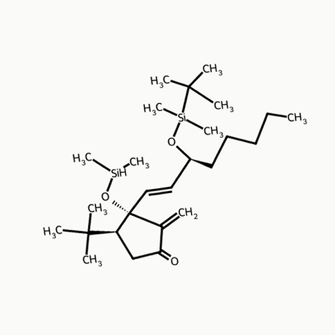 C=C1C(=O)C[C@@H](C(C)(C)C)[C@]1(C=C[C@H](CCCCC)O[Si](C)(C)C(C)(C)C)O[SiH](C)C